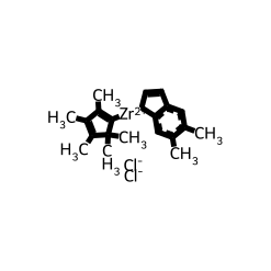 CC1=C(C)C(C)(C)[C]([Zr+2][CH]2C=Cc3cc(C)c(C)cc32)=C1C.[Cl-].[Cl-]